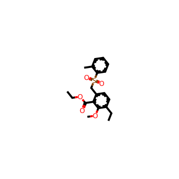 CCOC(=O)c1c(CS(=O)(=O)c2ccccc2C)ccc(CC)c1OC